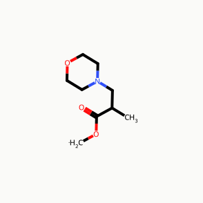 [CH2]OC(=O)C(C)CN1CCOCC1